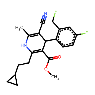 COC(=O)C1=C(CCC2CC2)NC(C)=C(C#N)C1c1ccc(F)cc1CF